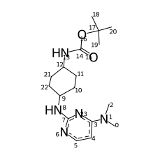 CN(C)c1ccnc(NC2CCC(NC(=O)OC(C)(C)C)CC2)n1